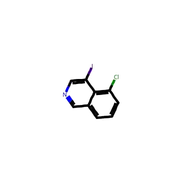 Clc1cccc2cncc(I)c12